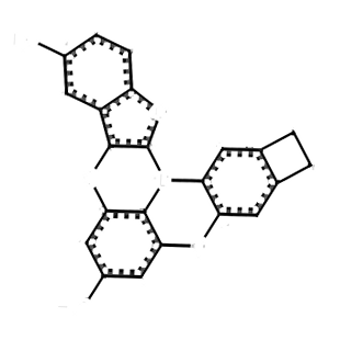 Cc1cc2c3c(c1)Oc1c(oc4ccc(C)cc14)B3c1cc3c(cc1O2)CC3